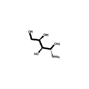 CC(=O)N[C@@H](C=O)[C@@H](O)[C@H](O)CO